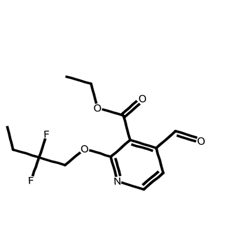 CCOC(=O)c1c(C=O)ccnc1OCC(F)(F)CC